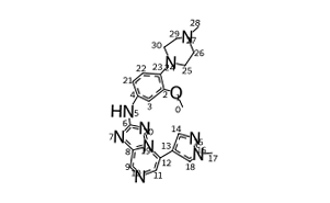 COc1cc(Nc2nc3cncc(-c4cnn(C)c4)n3n2)ccc1N1CCN(C)CC1